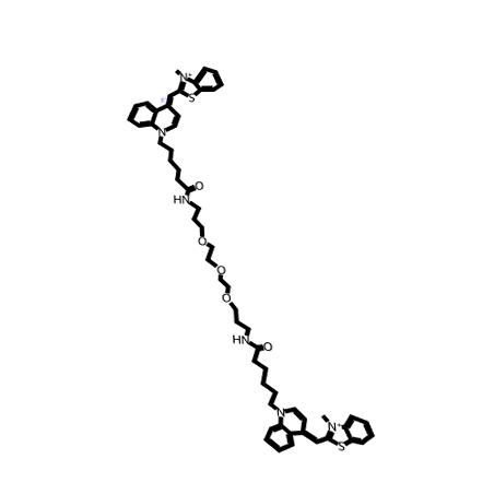 C[n+]1c(C=C2C=CN(CCCCCC(=O)NCCCOCCOCCOCCCNC(=O)CCCCCN3C=C/C(=C\c4sc5ccccc5[n+]4C)c4ccccc43)c3ccccc32)sc2ccccc21